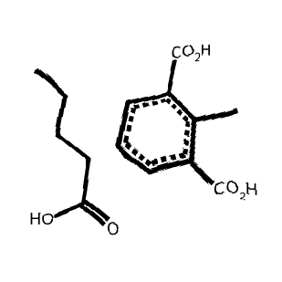 CCCCC(=O)O.Cc1c(C(=O)O)cccc1C(=O)O